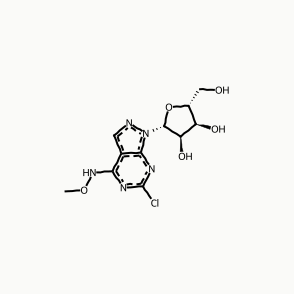 CONc1nc(Cl)nc2c1cnn2[C@@H]1O[C@H](CO)[C@@H](O)[C@H]1O